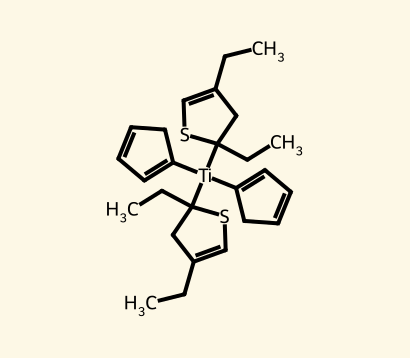 CCC1=CS[C](CC)([Ti]([C]2=CC=CC2)([C]2=CC=CC2)[C]2(CC)CC(CC)=CS2)C1